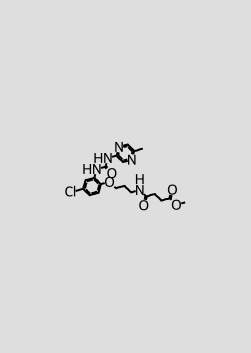 COC(=O)CCC(=O)NCCCOc1ccc(Cl)cc1NC(=O)Nc1cnc(C)cn1